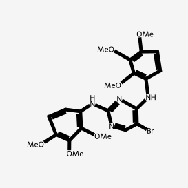 COc1ccc(Nc2ncc(Br)c(Nc3ccc(OC)c(OC)c3OC)n2)c(OC)c1OC